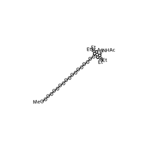 CCC(CC)N1Cc2ccc3c4c(SCC(NC(C)=O)C(C)=O)cc5c6c(ccc(c7c(OCCOCCOCCOCCOCCOCCOCCOCCOCCOCCOCCOCCOCCOCCOCCOCCOCCOC)cc(c2c37)C1)c64)CN(C(CC)CC)C5